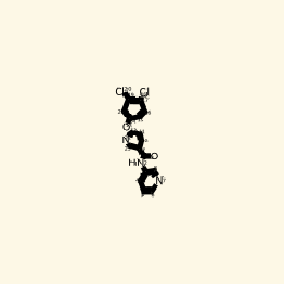 O=C(Nc1cccnc1)c1ccc(Oc2ccc(Cl)c(Cl)c2)nc1